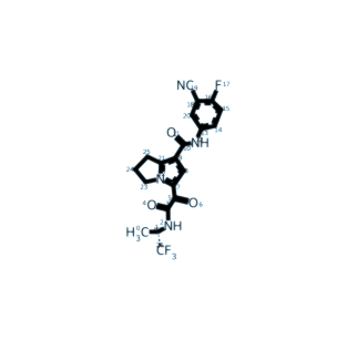 C[C@H](NC(=O)C(=O)c1cc(C(=O)Nc2ccc(F)c(C#N)c2)c2n1CCC2)C(F)(F)F